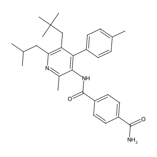 Cc1ccc(-c2c(CC(C)(C)C)c(CC(C)C)nc(C)c2NC(=O)c2ccc(C(N)=O)cc2)cc1